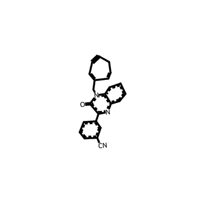 N#Cc1cccc(-c2nc3ccccc3n(CC3=CC#CCC=C3)c2=O)c1